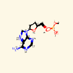 COP(O)OCC1CCC(n2cnc3c(N)ncnc32)O1